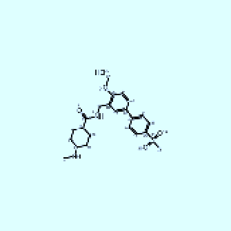 CNC1CCC(C(=O)NCc2cc(-c3ccc(S(C)(=O)=O)cc3)ccc2OC)CC1.Cl